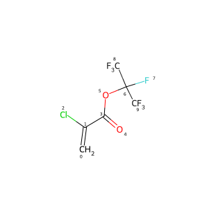 C=C(Cl)C(=O)OC(F)(C(F)(F)F)C(F)(F)F